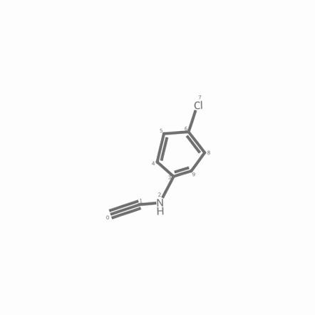 C#CNc1ccc(Cl)cc1